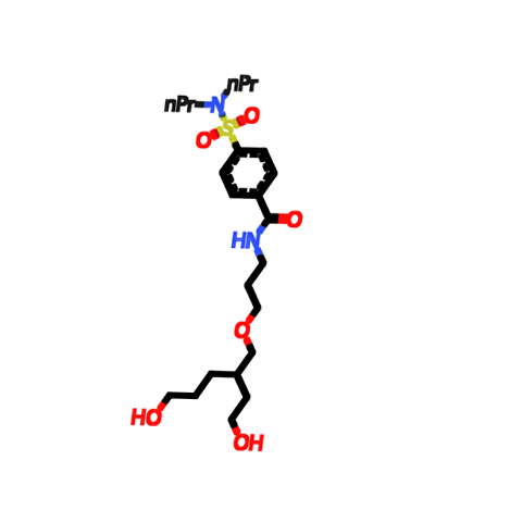 CCCN(CCC)S(=O)(=O)c1ccc(C(=O)NCCCOCC(CCO)CCCO)cc1